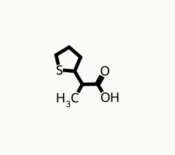 CC(C(=O)O)C1CCCS1